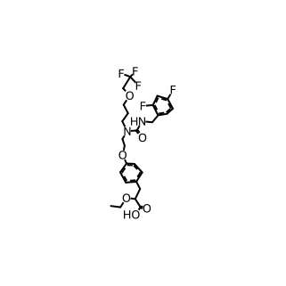 CCOC(Cc1ccc(OCCN(CCCOCC(F)(F)F)C(=O)NCc2ccc(F)cc2F)cc1)C(=O)O